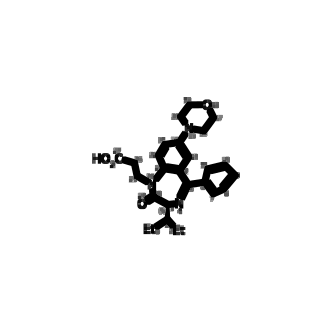 CCC(CC)[C@@H]1N=C(c2ccccc2)c2cc(N3CCOCC3)ccc2N(CCC(=O)O)C1=O